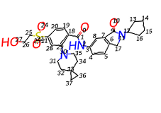 O=C(Nc1ccc2c(c1)C(=O)N(C1CCCC1)C2)c1ccc(S(=O)(=O)CCO)cc1N1CCC2(CC1)CC2